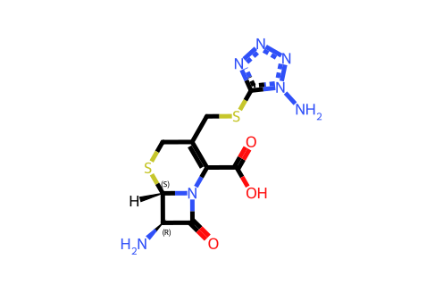 N[C@@H]1C(=O)N2C(C(=O)O)=C(CSc3nnnn3N)CS[C@@H]12